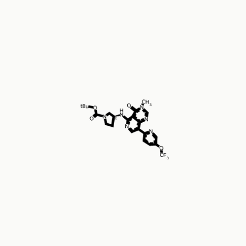 Cn1cnc2c(-c3ccc(OC(F)(F)F)cn3)cnc(N[C@H]3CCN(C(=O)OC(C)(C)C)C3)c2c1=O